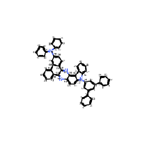 c1ccc(-c2cc(-c3ccccc3)cc(-n3c4ccccc4c4c5nc6c7ccc(N(c8ccccc8)c8ccccc8)cc7c7ccccc7c6nc5ccc43)c2)cc1